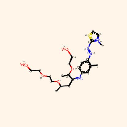 Cc1cc(NC(CC(C)OCCOCCO)C(C)OCCO)ccc1/N=N/c1scc[n+]1C